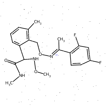 CNC(=O)C(NOC)c1cccc(C)c1CO/N=C(\C)c1ccc(F)cc1F